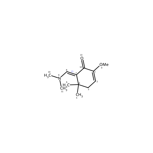 COC1=CCC(C)(C)/C(=C\N(C)C)C1=O